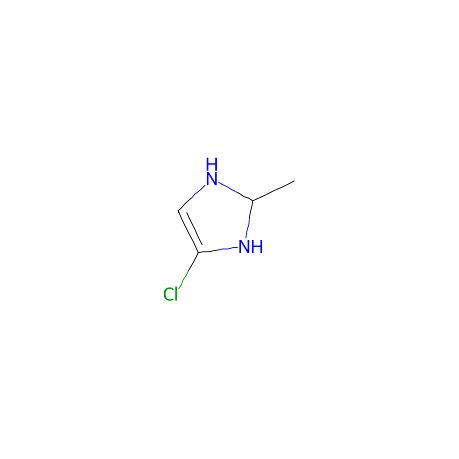 CC1NC=C(Cl)N1